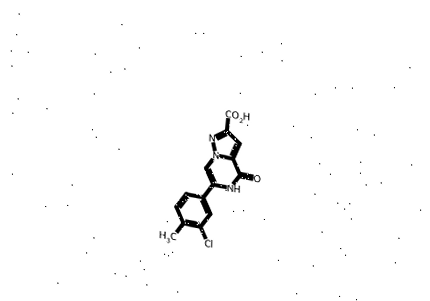 Cc1ccc(-c2cn3nc(C(=O)O)cc3c(=O)[nH]2)cc1Cl